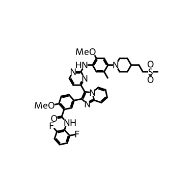 COc1cc(N2CCC(CCS(C)(=O)=O)CC2)c(C)cc1Nc1nccc(-c2c(-c3ccc(OC)c(C(=O)Nc4c(F)cccc4F)c3)nc3ccccn23)n1